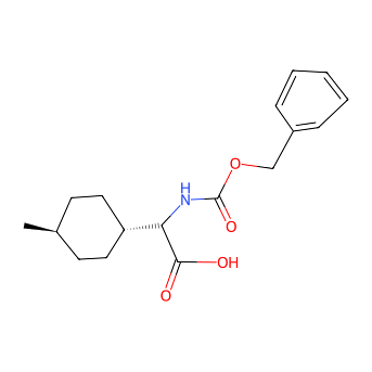 C[C@H]1CC[C@H](C(NC(=O)OCc2ccccc2)C(=O)O)CC1